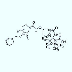 CC(C)(C)N(C(=O)O)C(NC(=O)O)(N1CCC(ONC(=O)[C@@H]2CC[C@@H]3CN2C(=O)N3OCc2ccccc2)CC1)C(C)(C)C